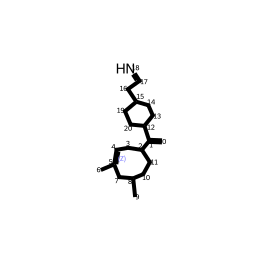 C=C(C1C/C=C(/C)CC(C)CC1)C1CCC(CC=N)CC1